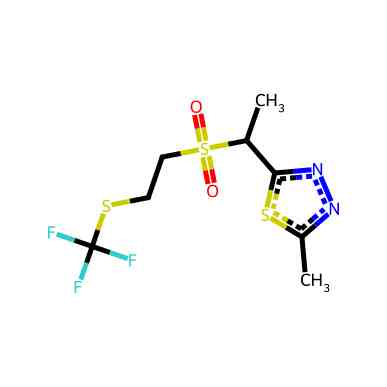 Cc1nnc(C(C)S(=O)(=O)CCSC(F)(F)F)s1